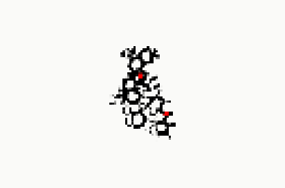 CCC1O[C@@H](OC2[C@H](O[C@H]3CCC4(C)C5CC=C6C7CC(C)(C)CC[C@]7(C(C)=O)[C@H](OC)CC6(C)C5(C)CC[C@H]4C3(C)C=O)OC[C@@H](C)[C@@H]2O[C@@H]2O[C@@H](C)[C@H](C)C(C)C2C)C(O[Si](CC)(CC)CC)[C@@H](C)[C@H]1C